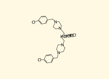 Cl.Cl.Cl.Cl.Clc1ccc(CN2CCN(CCCN3CCN(Cc4ccc(Cl)cc4)CC3)CC2)cc1